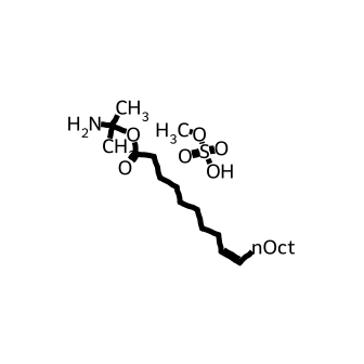 CCCCCCCC/C=C\CCCCCCCC(=O)OC(C)(C)N.COS(=O)(=O)O